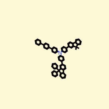 CC1(C)c2ccccc2-c2ccc(-c3ccc(N(c4ccc(-c5ccc(-c6ccccc6)cc5)cc4)c4ccc(-c5ccc6c(c5)C(c5ccccc5)(c5ccccc5)c5ccccc5-6)cc4)cc3)cc21